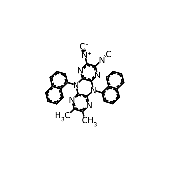 [C-]#[N+]c1nc2c(nc1[N+]#[C-])N(c1cccc3ccccc13)c1nc(C)c(C)nc1N2c1cccc2ccccc12